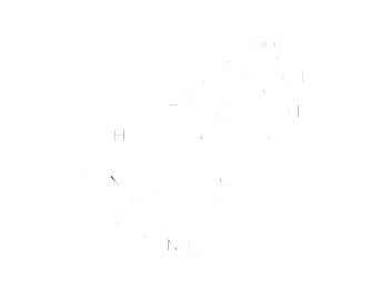 C=C(C)[C@@H]1CC[C@]2(N)CCC3[C@H](CCC4[C@@]3(C)CCC3C(C)(C)[C@@H](O)CC[C@@]34C)C12